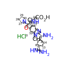 Cl.Cn1c(C(N)c2ccc(C(=N)N)cc2)nc2cc(C(C)(NCC(=O)O)C(=O)N3CCCC3)ccc21